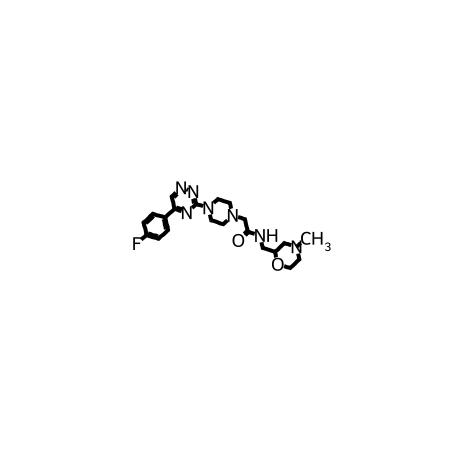 CN1CCOC(CNC(=O)CN2CCN(c3nncc(-c4ccc(F)cc4)n3)CC2)C1